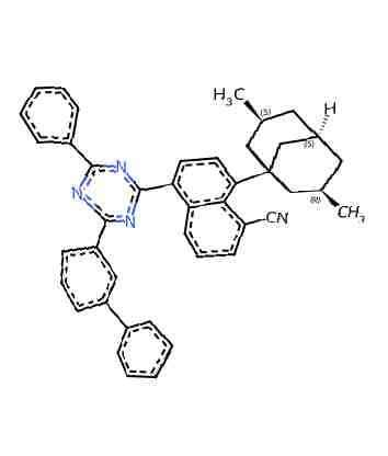 C[C@@H]1C[C@@H]2C[C@H](C)CC(c3ccc(-c4nc(-c5ccccc5)nc(-c5cccc(-c6ccccc6)c5)n4)c4cccc(C#N)c34)(C1)C2